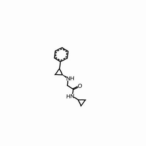 O=C(CN[C@H]1CC1c1ccccc1)NC1CC1